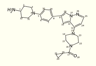 NC1CCN(c2ccc(-c3cc4c(N5CCN(C(=O)C6CC6)CC5)ccnn4c3)cc2)CC1